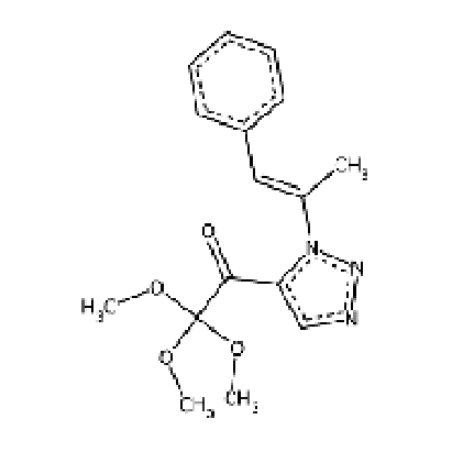 COC(OC)(OC)C(=O)c1cnnn1C(C)=Cc1ccccc1